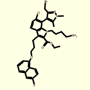 CCOC(=O)c1c(CCCOc2cccc3cc(F)ccc23)c2ccc(Cl)c(-c3c(CBr)nn(C)c3C)c2n1CCCCN